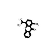 Cc1ccc(C(C)C)c2sc3ccccc3c(=O)c12